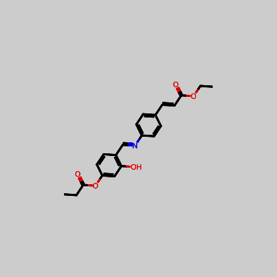 CCOC(=O)C=Cc1ccc(N=Cc2ccc(OC(=O)CC)cc2O)cc1